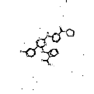 NC(=O)C1C2C=CC(C2)C1Nc1nc(Nc2cccc(C(=O)N3CCCC3)c2)ncc1-c1ccnc(F)c1